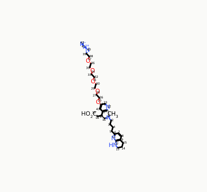 CN(CCCCc1ccc2c(n1)NCCC2)C[C@@H](CC(=O)O)c1cncc(OCCOCCOCCOCCOCCN=[N+]=[N-])c1